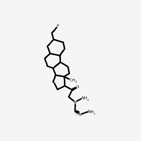 CC12CCC3C4CCC(CF)CC4CCC3C1CCC2C(=O)CN(N)/C=N\N